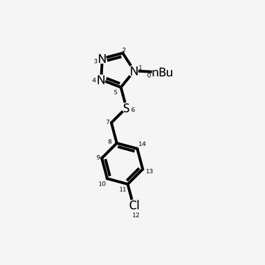 CCCCn1cnnc1SCc1ccc(Cl)cc1